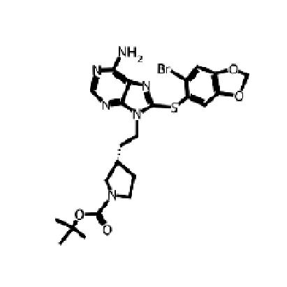 CC(C)(C)OC(=O)N1CC[C@@H](CCn2c(Sc3cc4c(cc3Br)OCO4)nc3c(N)ncnc32)C1